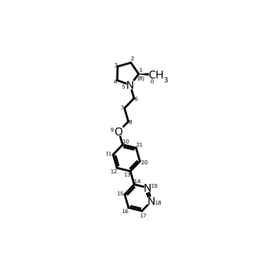 C[C@@H]1CCCN1CCCOc1ccc(-c2cccnn2)cc1